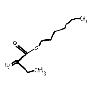 C=C(CC)C(=O)OCCCCCC